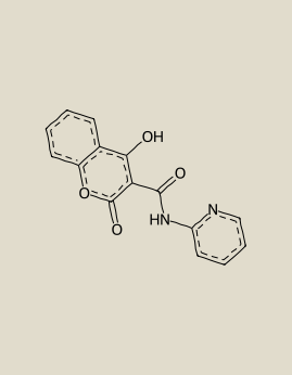 O=C(Nc1ccccn1)c1c(O)c2ccccc2oc1=O